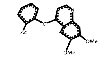 COc1cc2nccc(Oc3ccccc3C(C)=O)c2cc1OC